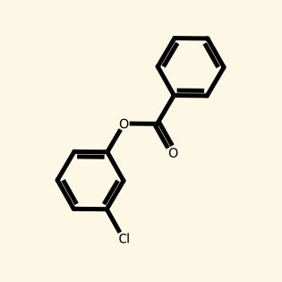 O=C(Oc1cccc(Cl)c1)c1ccccc1